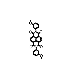 COc1cccc(N2C(=O)c3ccc4c5c(ccc(c35)C2=O)C(=O)N(c2cccc(OC)c2)C4=O)c1